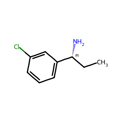 CC[C@@H](N)c1cccc(Cl)c1